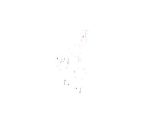 CN1CCN(Cc2cnn(-c3ccc(OC(F)(F)F)cc3)c2-c2ccccc2F)CC1